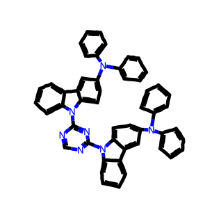 c1ccc(N(c2ccccc2)c2ccc3c(c2)c2ccccc2n3-c2ncnc(-n3c4ccccc4c4cc(N(c5ccccc5)c5ccccc5)ccc43)n2)cc1